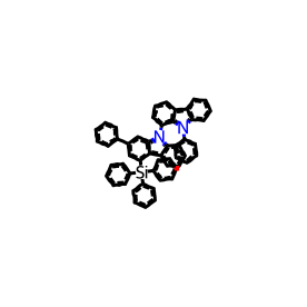 c1ccc(-c2cc([Si](c3ccccc3)(c3ccccc3)c3ccccc3)c3c4ccccc4n(-c4cccc5c6ccccc6n(-c6ccccc6)c45)c3c2)cc1